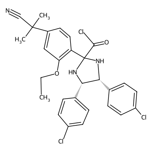 CCOc1cc(C(C)(C)C#N)ccc1C1(C(=O)Cl)N[C@H](c2ccc(Cl)cc2)[C@H](c2ccc(Cl)cc2)N1